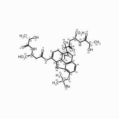 C[C@H](O)C(=O)N[C@@H](CC(=O)OC1=CC[C@@]2(OC(=O)C[C@H](NC(=O)[C@H](C)O)C(=O)O)[C@H]3Cc4ccc(O[Si](C)(C)C(C)(C)C)c5c4[C@@]2(CCN3C)[C@H]1O5)C(=O)O